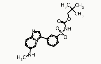 CNc1ccc2ncc(-c3cccc(S(=O)(=O)NC(=O)OCC(C)(C)C)c3)n2c1